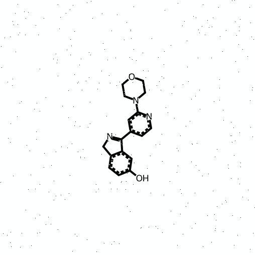 Oc1ccc2c(c1)C(c1ccnc(N3CCOCC3)c1)=NC2